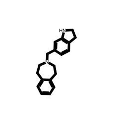 c1ccc2c(c1)CCN(Cc1ccc3c(c1)NCC3)CC2